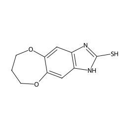 Sc1nc2cc3c(cc2[nH]1)OCCCO3